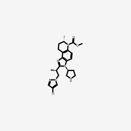 COC(=O)N1c2ccc3c(nc([C@H](C)Cn4cc(Cl)cn4)n3[C@H]3CCNC3)c2CC[C@@H]1C